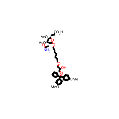 COc1ccc(C(OC[C@H](O)COCCCCCCCO[C@@H]2O[C@H]([CH]CC(=O)O)[C@@H](OC(C)=O)[C@H](OC(C)=O)[C@H]2CC(N)=O)(c2ccccc2)c2ccc(OC)cc2)cc1